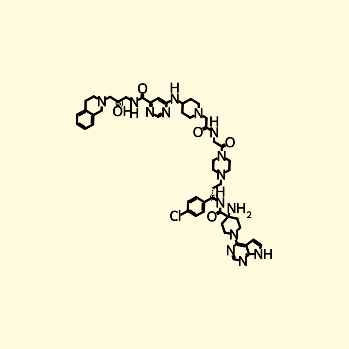 NC1(C(=O)N[C@@H](CCN2CCN(C(=O)CNC(=O)CN3CCC(Nc4cc(C(=O)NC[C@H](O)CN5CCc6ccccc6C5)ncn4)CC3)CC2)c2ccc(Cl)cc2)CCN(c2ncnc3[nH]ccc23)CC1